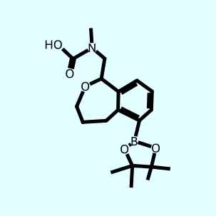 CN(CC1OCCCc2c(B3OC(C)(C)C(C)(C)O3)cccc21)C(=O)O